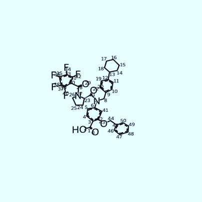 O=C(O)c1ccc(N(Cc2ccc(C3CCCCC3)cc2)C(=O)[C@H]2CCCN2C(=O)c2c(F)c(F)c(F)c(F)c2F)cc1OCc1ccccc1